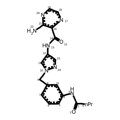 CCCC(=O)Nc1cccc(Cn2cc(NC(=O)c3nccnc3N)cn2)c1